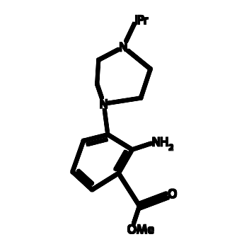 COC(=O)c1cccc(N2CCN(C(C)C)CC2)c1N